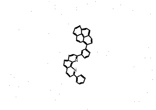 c1ccc(-c2ccc3ccc4ccc(-c5cccc(-c6ccc7ccc8cccc9ccc6c7c89)c5)nc4c3n2)cc1